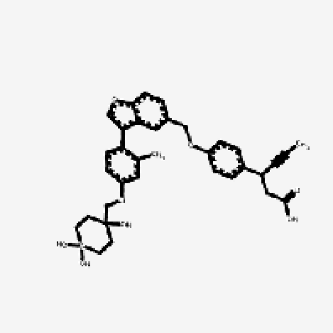 CC#CC(CC(=O)O)c1ccc(OCc2ccc3scc(-c4ccc(OCC5(O)CCS(O)(O)CC5)cc4C)c3c2)cc1